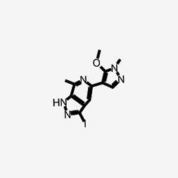 COc1c(-c2cc3c(I)n[nH]c3c(C)n2)cnn1C